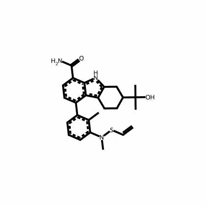 C=CSN(C)c1cccc(-c2ccc(C(N)=O)c3[nH]c4c(c23)CCC(C(C)(C)O)C4)c1C